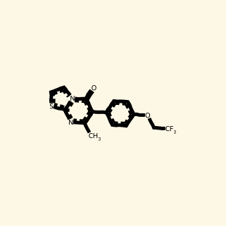 Cc1nc2sccn2c(=O)c1-c1ccc(OCC(F)(F)F)cc1